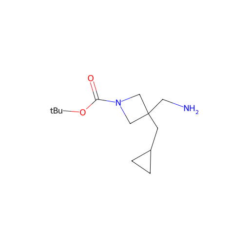 CC(C)(C)OC(=O)N1CC(CN)(CC2CC2)C1